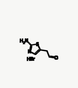 Br.Nc1ncc(CC=O)s1